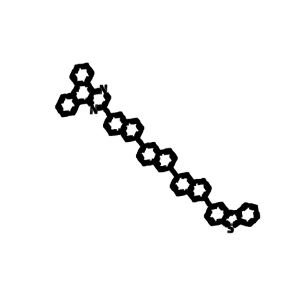 c1ccc2c(c1)sc1ccc(-c3ccc4cc(-c5ccc6cc(-c7ccc8cc(-c9cnc%10c%11ccccc%11c%11ccccc%11c%10n9)ccc8c7)ccc6c5)ccc4c3)cc12